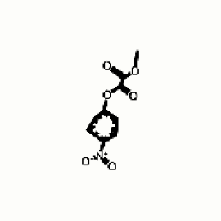 COC(=O)C(=O)Oc1ccc([N+](=O)[O-])cc1